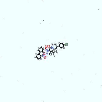 CC(C)[C@@H](NC(=O)c1cccc(-c2ccccc2[N+](=O)[O-])c1)C(=O)N1CCC(c2ccc(Cl)cc2)CC1